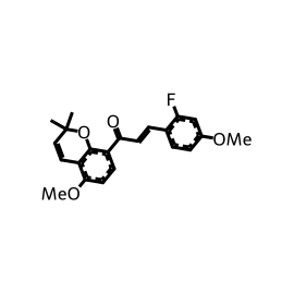 COc1ccc(C=CC(=O)c2ccc(OC)c3c2OC(C)(C)C=C3)c(F)c1